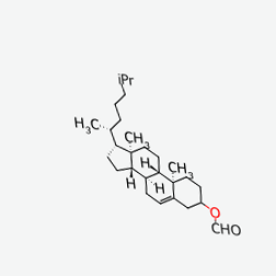 CC(C)CCC[C@@H](C)[C@H]1CC[C@H]2[C@@H]3CC=C4CC(OC=O)CC[C@]4(C)[C@H]3CC[C@]12C